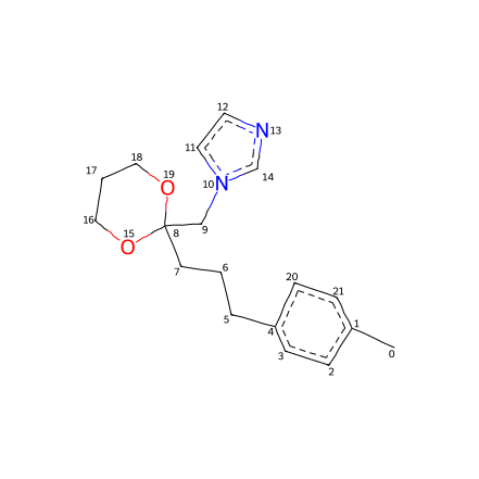 Cc1ccc(CCCC2(Cn3ccnc3)OCCCO2)cc1